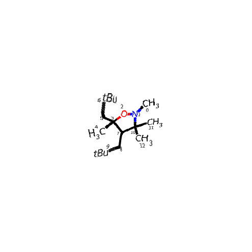 CN1OC(C)(CC(C)(C)C)C(CC(C)(C)C)C1(C)C